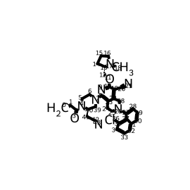 C=CC(=O)N1CCN(c2nc(OC[C@@H]3CCCN3C)c(C#N)c3c2CCN(c2cccc4cccc(Cl)c24)C3)C[C@H]1CC#N